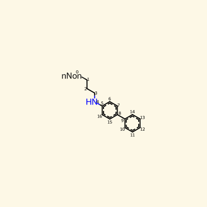 CCCCCCCCCCCCNc1ccc(-c2ccccc2)cc1